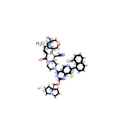 C[C@@H](/C=C/C(=O)N1CCN(c2nc(OC[C@@]34CCCN3C[C@H](F)C4)nc3c(F)c(-c4cccc5cccc(Cl)c45)ncc23)C[C@@H]1CC#N)N1[C@@H]2CC[C@H]1COC2